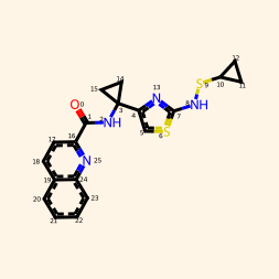 O=C(NC1(c2csc(NSC3CC3)n2)CC1)c1ccc2ccccc2n1